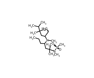 CCCC(CC(C)(C)N(C)S(C)(=O)=O)N(C)C(CC)CC(C)(C)C(C)C